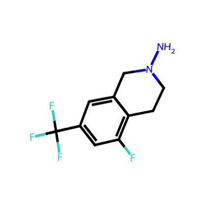 NN1CCc2c(F)cc(C(F)(F)F)cc2C1